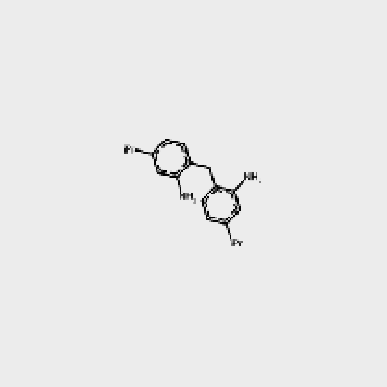 CC(C)c1ccc(Cc2ccc(C(C)C)cc2N)c(N)c1